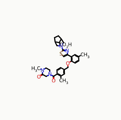 Cc1ccc(OCc2ccc(C(=O)N3CCN(C)C(=O)C3)c(C)c2)c(-c2csc(N3CC4CCC(C3)C4C(=O)O)n2)c1